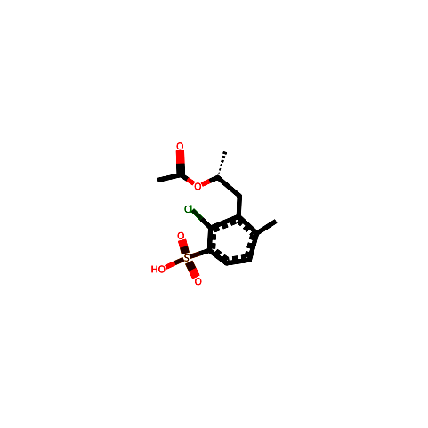 CC(=O)O[C@H](C)Cc1c(C)ccc(S(=O)(=O)O)c1Cl